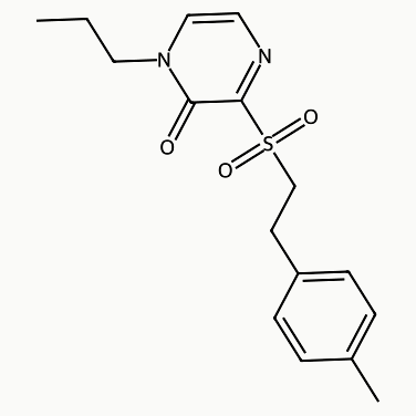 CCCn1ccnc(S(=O)(=O)CCc2ccc(C)cc2)c1=O